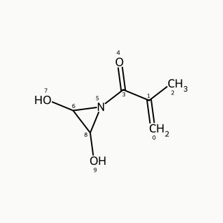 C=C(C)C(=O)N1C(O)C1O